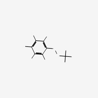 Fc1c(F)c(F)c(OOC(Cl)(Cl)Cl)c(F)c1F